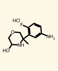 CC1(c2cc(N)ccc2F)COCC(O)N1.Cl